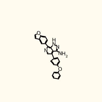 Nc1n[nH]c2c(-c3ccc4occc4c3)ncc(-c3ccc(Oc4ccccc4)cc3)c12